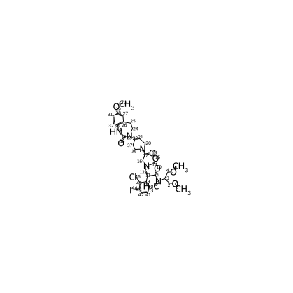 COCC(COC)N(C)C(=O)/C(=C\N(C=O)CC(=O)N1CCC(N2CCc3cc(OC)ccc3NC2=O)CC1)c1cccc(F)c1Cl